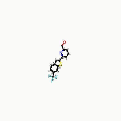 O=Cc1cccc(-c2cc3ccc(C(F)(F)F)cc3s2)n1